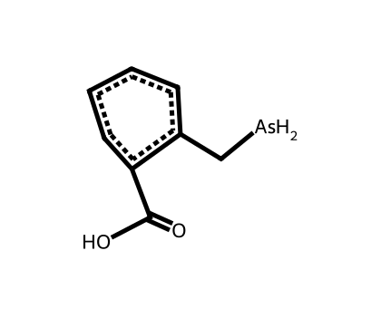 O=C(O)c1ccccc1C[AsH2]